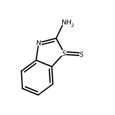 NC1=Nc2ccccc2S1=S